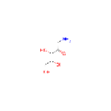 NCC(=O)C(O)C(O)CO